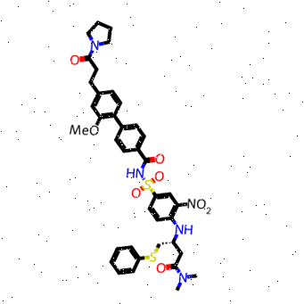 COc1cc(CCC(=O)N2CCCC2)ccc1-c1ccc(C(=O)NS(=O)(=O)c2ccc(N[C@@H](CSc3ccccc3)CC(=O)N(C)C)c([N+](=O)[O-])c2)cc1